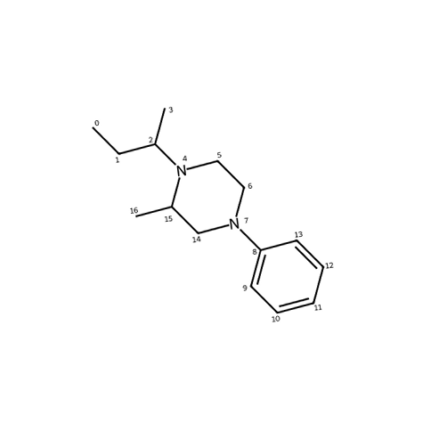 CCC(C)N1CCN(c2ccccc2)CC1C